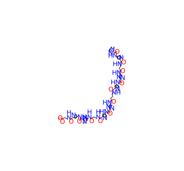 COC(=O)CCNC(=O)c1cc(NC(=O)c2nc(NC(=O)CCNC(=O)c3cc(NC(=O)c4nc(NC(=O)CCCNC(=O)c5cc(NC(=O)c6nc(NC(=O)CCNC(=O)c7cc(NC(=O)c8nccn8C)cn7C)cn6C)cn5C)cn4C)cn3C)cn2C)cn1C